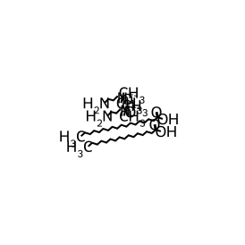 CCCCCCCCCCCCCCCC(=O)O.CCCCCCCCCCCCCCCCCC(=O)O.C[N+](C)([O-])CCCN.C[N+](C)([O-])CCCN